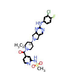 C[C@@H]1C[C@@H](N2Cc3cnc(Nc4ccc(F)c(Cl)c4)nc3C2)CCN1C(=O)c1ccnc(NS(C)(=O)=O)c1